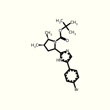 C[C@@H]1CC(c2ncc(-c3ccc(Br)cc3)[nH]2)N(C(=O)OC(C)(C)C)[C@@H]1C